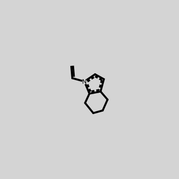 C=Cn1ccc2c1CCCC2